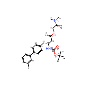 Cc1cccc(-c2ccc(C[C@H](CC(=O)OCC(=O)N(C)C)NC(=O)OC(C)(C)C)cc2)c1